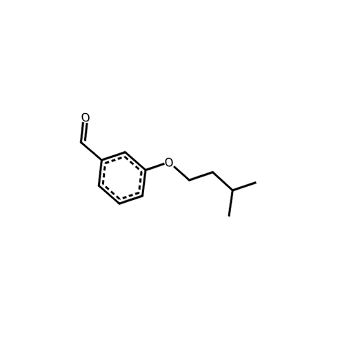 CC(C)CCOc1cccc(C=O)c1